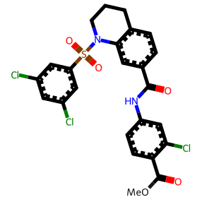 COC(=O)c1ccc(NC(=O)c2ccc3c(c2)N(S(=O)(=O)c2cc(Cl)cc(Cl)c2)CCC3)cc1Cl